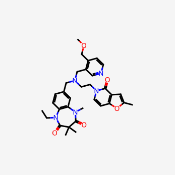 CCN1C(=O)C(C)(C)C(=O)N(C)c2cc(CN(CCn3ccc4oc(C)cc4c3=O)Cc3cnccc3COC)ccc21